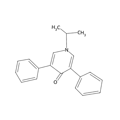 CC(C)n1cc(-c2ccccc2)c(=O)c(-c2ccccc2)c1